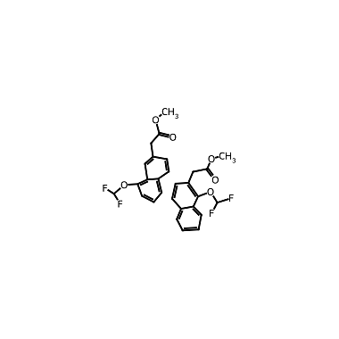 COC(=O)Cc1ccc2cccc(OC(F)F)c2c1.COC(=O)Cc1ccc2ccccc2c1OC(F)F